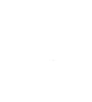 [CH2]CC(O)C=CC